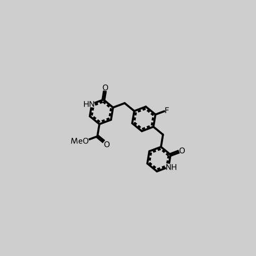 COC(=O)c1c[nH]c(=O)c(Cc2ccc(Cc3ccc[nH]c3=O)c(F)c2)c1